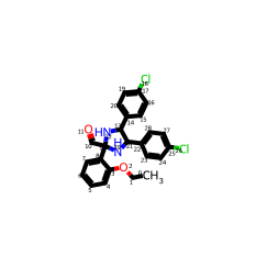 CCOc1ccccc1C1(C=O)NC(c2ccc(Cl)cc2)C(c2ccc(Cl)cc2)N1